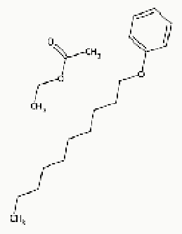 CCCCCCCCCCOc1ccccc1.CCOC(C)=O